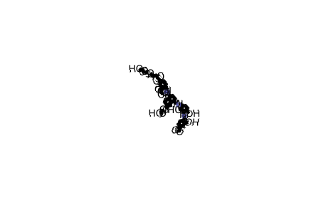 O=[N+]([O-])c1ccc(/N=N/c2c(O)ccc(/N=N/c3ccc(/N=N/c4ccc(S(=O)(=O)CCOSOOO)cc4S(=O)(=O)O)c4ccc(SOOO)cc34)c2O)c(O)c1